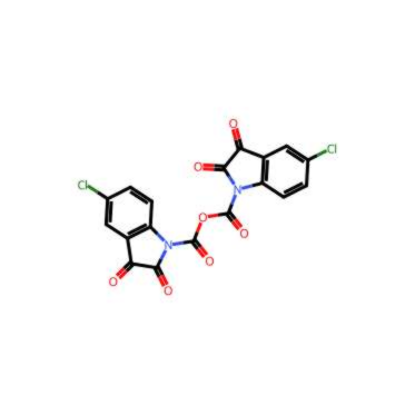 O=C1C(=O)N(C(=O)OC(=O)N2C(=O)C(=O)c3cc(Cl)ccc32)c2ccc(Cl)cc21